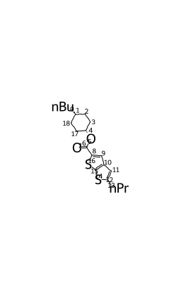 CCCC[C@H]1CC[C@H](OC(=O)c2cc3cc(CCC)sc3s2)CC1